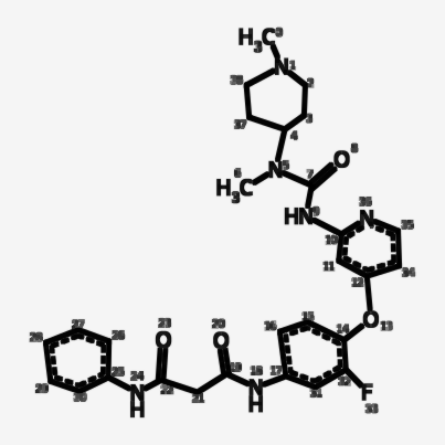 CN1CCC(N(C)C(=O)Nc2cc(Oc3ccc(NC(=O)CC(=O)Nc4ccccc4)cc3F)ccn2)CC1